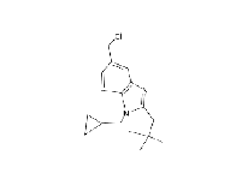 CC(C)(C)Cc1nc2cc(CCl)ccc2n1CC1CC1